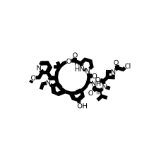 CCn1c(-c2cccnc2COC)c2c3cc(ccc31)-c1cc(O)cc(c1)C[C@H](NC(=O)[C@H](C(C)C)N(C)C(=O)C1CN(C(=O)CCl)C1)C(=O)N1CCC[C@H](N1)C(=O)OCC(C)(C)C2